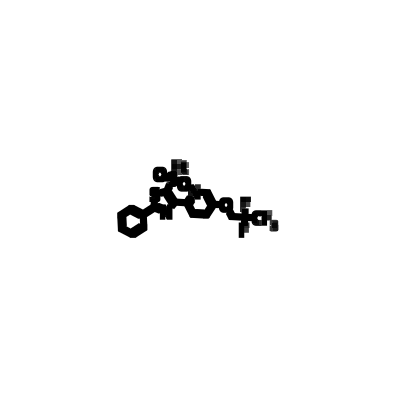 CCS(=O)(=O)c1sc(-c2ccccc2)nc1-c1ccc(OCC(F)(F)C(F)(F)F)cn1